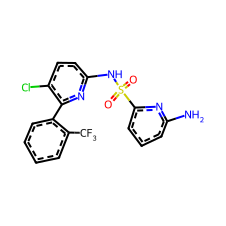 Nc1cccc(S(=O)(=O)Nc2ccc(Cl)c(-c3ccccc3C(F)(F)F)n2)n1